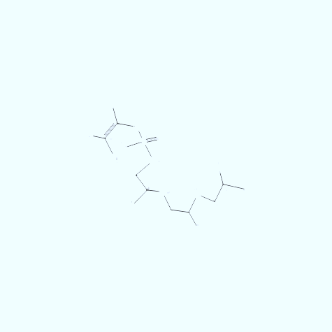 CC(OP(=O)(O)OCC(C)OCC(C)OCC(C)O)=C(Br)Br